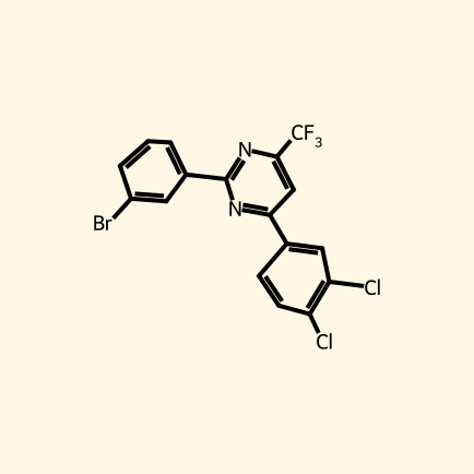 FC(F)(F)c1cc(-c2ccc(Cl)c(Cl)c2)nc(-c2cccc(Br)c2)n1